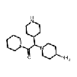 NC1CCN(C(C(=O)N2CCCCC2)C2CCNCC2)CC1